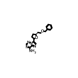 Nc1ncnn2c(C3CC[C@@H](CCOCc4ccccc4)O3)cnc12